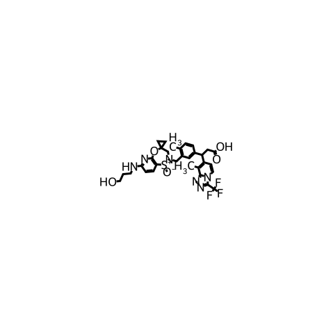 Cc1ccc(C(CC(=O)O)c2ccn3c(C(F)(F)F)nnc3c2C)cc1CN1CC2(CC2)Oc2nc(NCCCO)ccc2[S+]1[O-]